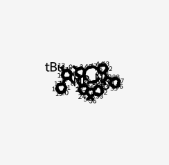 Cc1cc2c3c(c1)N(Cc1ccc(C(C)(C)C)cc1-c1ccccc1)c1ccc4c(c1B3CCn1c3oc5ccccc5c3c3cccc(c31)CC2)-c1ccccc1C4(C)C